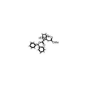 COC(=O)CC1C(C(=O)OC(c2ccccc2)c2ccccc2)[C@H]2CC[C@H]1C2